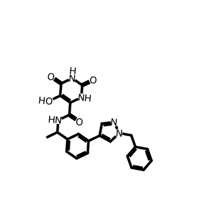 CC(NC(=O)c1[nH]c(=O)[nH]c(=O)c1O)c1cccc(-c2cnn(Cc3ccccc3)c2)c1